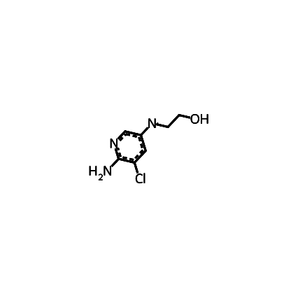 Nc1ncc([N]CCO)cc1Cl